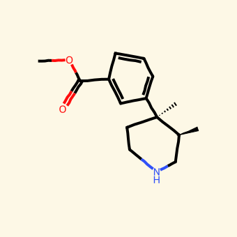 COC(=O)c1cccc([C@]2(C)CCNC[C@@H]2C)c1